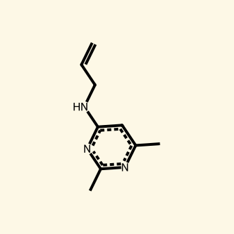 C=CCNc1cc(C)nc(C)n1